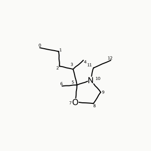 CCCC(C)C1(C)OCCN1CC